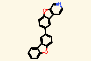 c1ccc2c(c1)oc1ccc(-c3ccc4oc5cnccc5c4c3)cc12